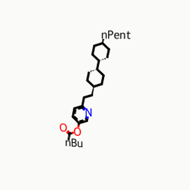 CCCCC[C@H]1CC[C@H]([C@H]2CC[C@H](CCc3ccc(OC(=O)CCCC)cn3)CC2)CC1